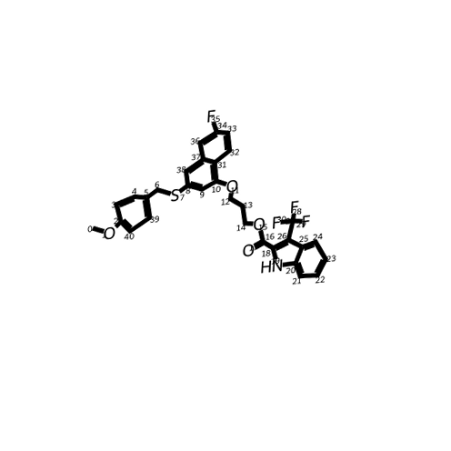 COc1ccc(CSc2cc(OCCCOC(=O)c3[nH]c4ccccc4c3C(F)(F)F)c3ccc(F)cc3c2)cc1